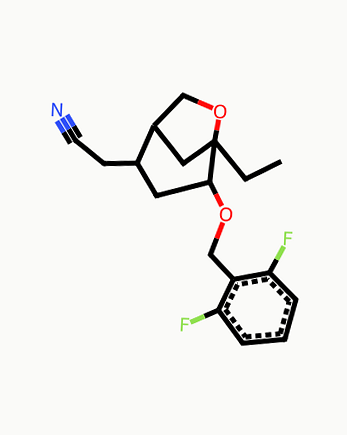 CCC12CC(CO1)C(CC#N)CC2OCc1c(F)cccc1F